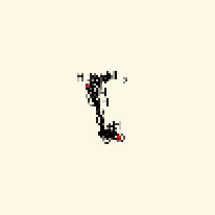 CC1(N)CCN(c2cnc(Sc3cccc(NC(=O)CC(=O)NCCCOCCOCCNc4cccc5c4C(=O)N(C4CCC(=O)NC4=O)C5=O)c3Cl)c(N)n2)CC1